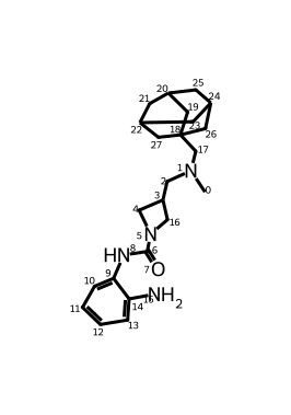 CN(CC1CN(C(=O)Nc2ccccc2N)C1)CC12CC3CC(CC(C3)C1)C2